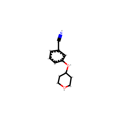 N#Cc1[c]c(OC2CCOCC2)ccc1